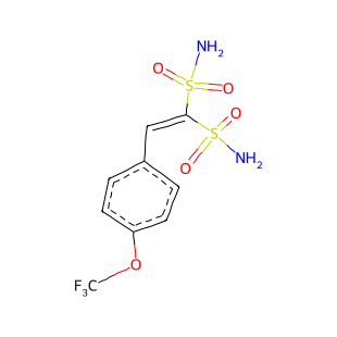 NS(=O)(=O)C(=Cc1ccc(OC(F)(F)F)cc1)S(N)(=O)=O